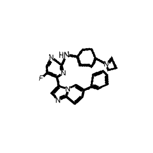 Fc1cnc(NC2CCC(N3CCC3)CC2)nc1-c1cnc2ccc(-c3ccccc3)cn12